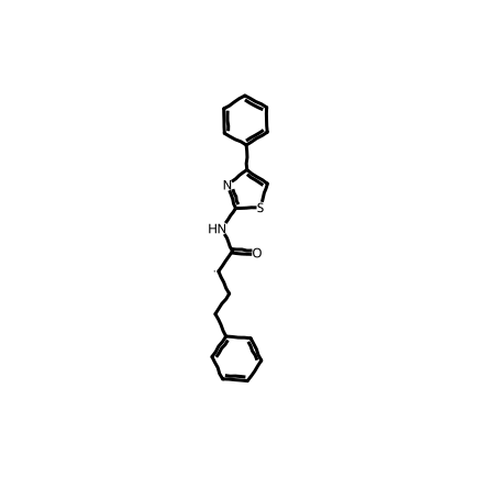 O=C([CH]CCc1ccccc1)Nc1nc(-c2ccccc2)cs1